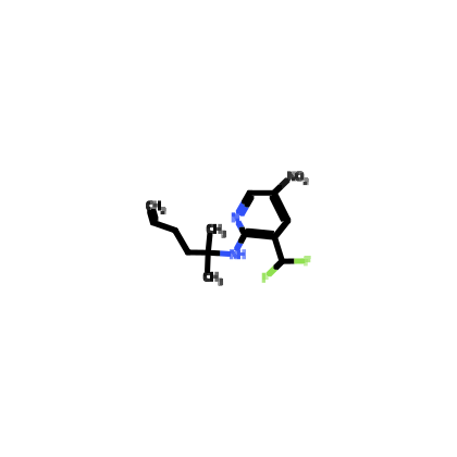 C=CCCC(C)(C)Nc1ncc([N+](=O)[O-])cc1C(F)F